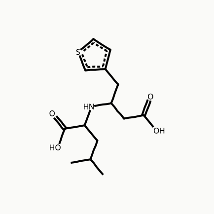 CC(C)CC(NC(CC(=O)O)Cc1ccsc1)C(=O)O